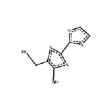 CCCc1nc(-c2nccs2)sc1CC(C)C